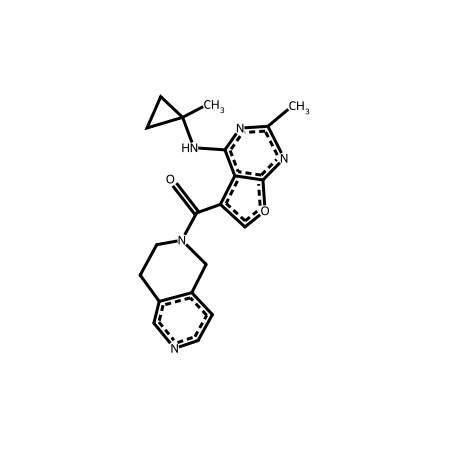 Cc1nc(NC2(C)CC2)c2c(C(=O)N3CCc4cnccc4C3)coc2n1